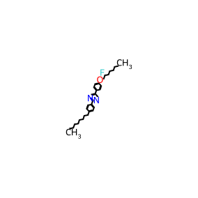 CCCCCCCCCc1ccc(-c2ncc(-c3ccc(OC[C@@H](F)CCCCCC)cc3)cn2)cc1